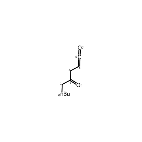 CCCCCC(=O)CC=C=O